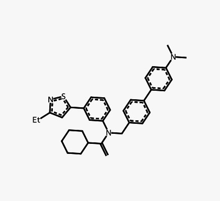 C=C(C1CCCCC1)N(Cc1ccc(-c2ccc(N(C)C)cc2)cc1)c1cccc(-c2cc(CC)ns2)c1